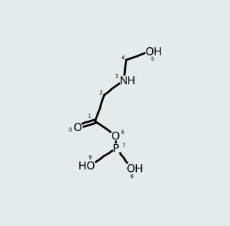 O=C(CNCO)OP(O)O